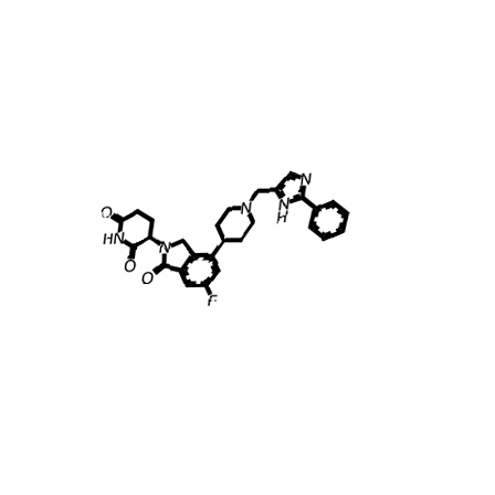 O=C1CCC(N2Cc3c(cc(F)cc3C3CCN(Cc4cnc(-c5ccccc5)[nH]4)CC3)C2=O)C(=O)N1